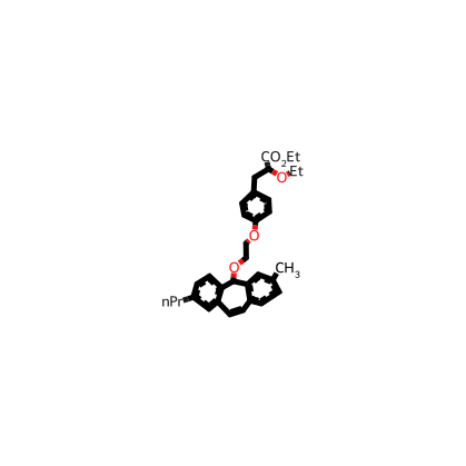 CCCc1ccc2c(c1)C=Cc1ccc(C)cc1C2OCCOc1ccc(CC(OCC)C(=O)OCC)cc1